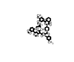 COc1ccc(C2=NN(C3CCN(C(=O)[C@H](Cc4cccc(C)c4)NC(=O)c4c(C)[nH]c5c(-c6c(OCC7CC7)ccc7c6OCO7)ncnc45)CC3)C(=O)[C@@H]3CCCC[C@H]23)cc1OC